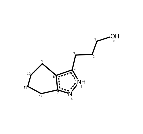 OCCCc1[nH]nc2c1CCCC2